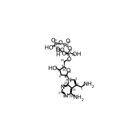 NCc1cn([C@H]2CC(O)[C@@H](COP(=O)(O)OP(=O)(O)OP(=O)(O)O)O2)c2ncnc(N)c12